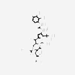 CCN1C(=O)C(C)(CC(=O)OC)N(C(C)=O)CC1C(=O)c1cc(NC(=O)Nc2ccc(F)c(Cl)c2Cl)c(C(C)(C)C)s1